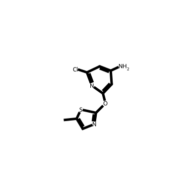 Cc1cnc(Oc2cc(N)cc(Cl)n2)s1